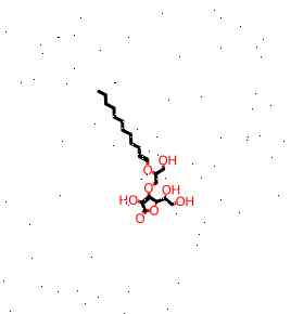 CCCCCCCCCCC=COC(CO)COC1=C(O)C(=O)O[C@@H]1[C@@H](O)CO